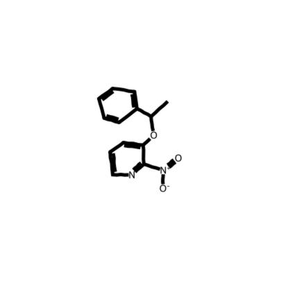 CC(Oc1cccnc1[N+](=O)[O-])c1ccccc1